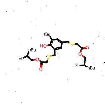 CCCCC(CC)COC(=O)CSCc1cc(CSCC(=O)OCC(CC)CCCC)c(O)c(C(C)(C)C)c1